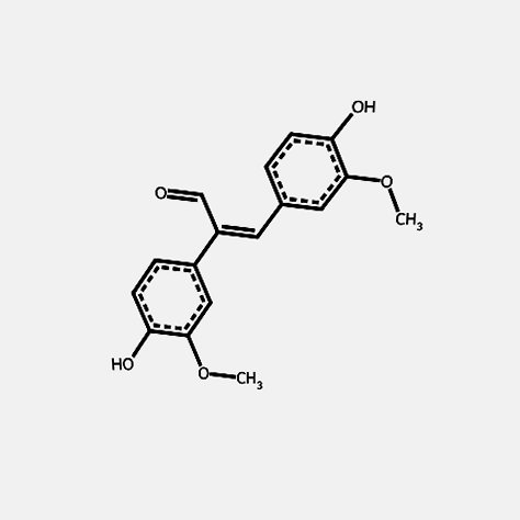 COc1cc(/C=C(\C=O)c2ccc(O)c(OC)c2)ccc1O